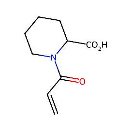 C=CC(=O)N1CCCCC1C(=O)O